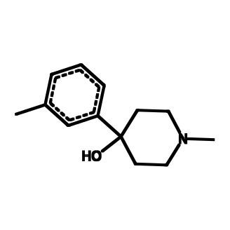 Cc1cccc(C2(O)CCN(C)CC2)c1